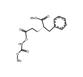 COC(=O)[C@@H](CCC(=O)ONC(=O)OC(C)(C)C)Cc1ccccc1